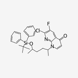 CC(CCC(C)n1ccc(=O)c2cc(F)c(Cl)nc21)O[Si](c1ccccc1)(c1ccccc1)C(C)(C)C